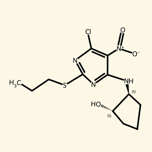 CCCSc1nc(Cl)c([N+](=O)[O-])c(N[C@H]2CCC[C@@H]2O)n1